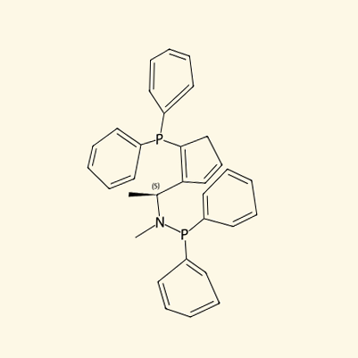 C[C@@H](C1=C(P(c2ccccc2)c2ccccc2)CC=C1)N(C)P(c1ccccc1)c1ccccc1